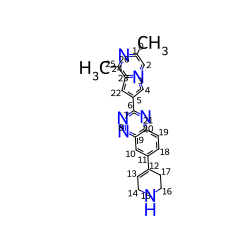 Cc1cn2cc(-c3nnc4cc(C5=CCNCC5)ccc4n3)cc2c(C)n1